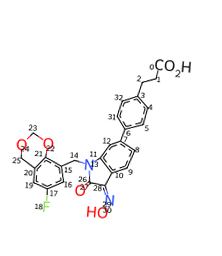 O=C(O)CCc1ccc(-c2ccc3c(c2)N(Cc2cc(F)cc4c2OCOC4)C(=O)/C3=N\O)cc1